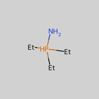 CC[PH](N)(CC)CC